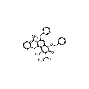 NC(=O)c1c(Cc2ccccc2)nc2c(c(O)c(C(N)=O)c(=O)n2OCc2ccccc2)c1Cc1ccccc1